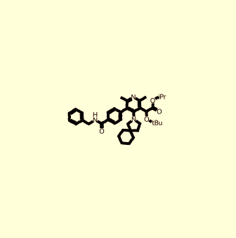 Cc1nc(C)c(C(OC(C)(C)C)C(=O)OC(C)C)c(N2CCC3(CCCCC3)C2)c1-c1ccc(C(=O)NCc2ccccc2)cc1